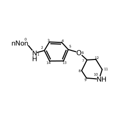 CCCCCCCCCNc1ccc(OC2CCNCC2)cc1